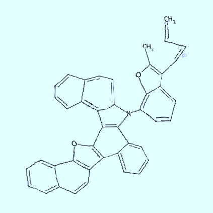 C=C/C=C\c1c(C)oc2c(-n3c4ccc5ccccc5c4c4c5oc6c7ccccc7ccc6c5c5ccccc5c43)cccc12